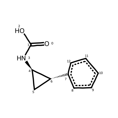 O=C(O)N[C@@H]1C[C@H]1c1ccccc1